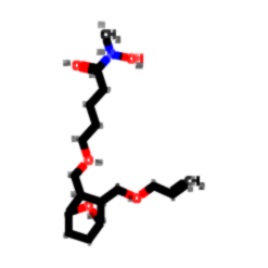 C=CCOCC1C2CCC(O2)C1COCCCCC(=O)N(C)O